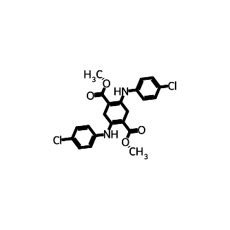 COC(=O)C1=C(Nc2ccc(Cl)cc2)CC(C(=O)OC)=C(Nc2ccc(Cl)cc2)C1